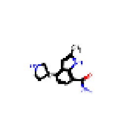 Cc1cc2c([C@H]3CCNC3)ccc(C(N)=O)c2[nH]1